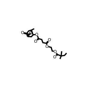 CCC(C)(C)C(=O)OCCOC(=O)CCC(=O)OC1CC2CCC1(C)OC2=O